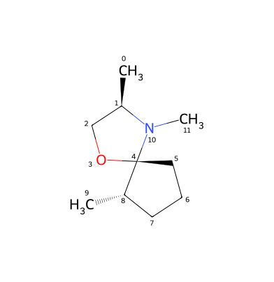 C[C@@H]1CO[C@]2(CCC[C@@H]2C)N1C